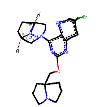 O=C(O)N1[C@@H]2CC[C@H]1CN(c1nc(OCC34CCCN3CCC4)nc3cc(Br)cnc13)C2